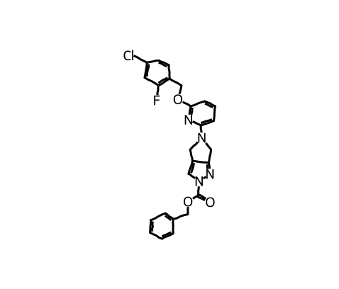 O=C(OCc1ccccc1)n1cc2c(n1)CN(c1cccc(OCc3ccc(Cl)cc3F)n1)C2